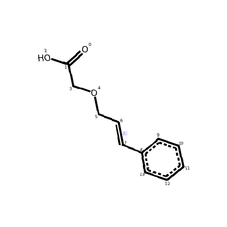 O=C(O)COC/C=C/c1ccccc1